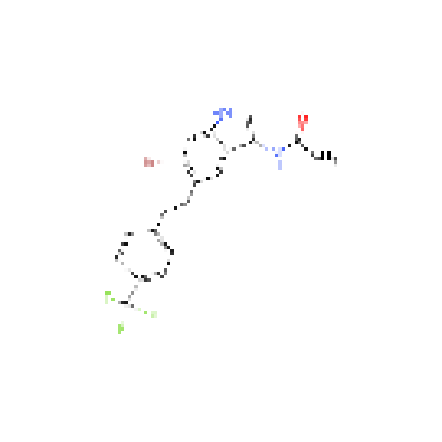 CC(=O)Nc1c[nH]c2cc(Br)c(CCc3ccc(C(F)(F)F)cc3)cc12